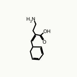 NCCC(=CC1C=CC=CC1)C(=O)O